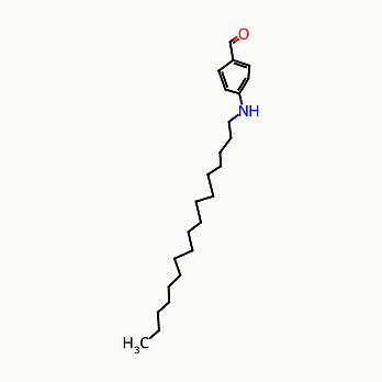 CCCCCCCCCCCCCCCCCNc1ccc(C=O)cc1